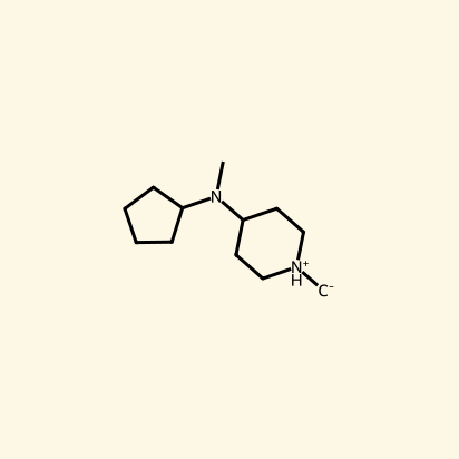 [CH2-][NH+]1CCC(N(C)C2CCCC2)CC1